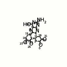 COc1ccc(-c2nc3nc(N)nc(O)c3nc2-c2ccc(OC)c(OC)c2)cc1OC